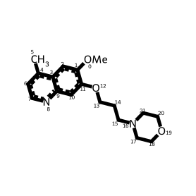 COc1cc2c(C)ccnc2cc1OCCCN1CCOCC1